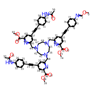 COC=Nc1ccc(C#Cc2cc(CN3CCN(Cc4cc(C#Cc5ccc(NC(C)=O)cc5)cc(C(=O)OC)n4)CCN(Cc4cc(C#Cc5ccc(NC(C)=O)cc5)cc(C(=O)OC)n4)CC3)nc(C(=O)OC)c2)cc1